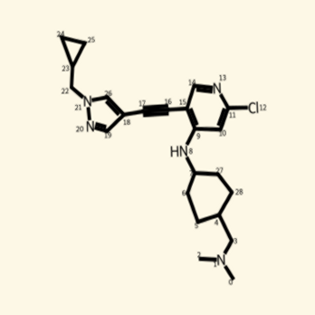 CN(C)CC1CCC(Nc2cc(Cl)ncc2C#Cc2cnn(CC3CC3)c2)CC1